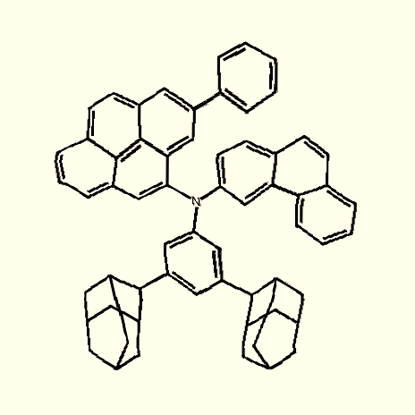 c1ccc(-c2cc3ccc4cccc5cc(N(c6cc(C7C8CC9CC(C8)CC7C9)cc(C7C8CC9CC(C8)CC7C9)c6)c6ccc7ccc8ccccc8c7c6)c(c2)c3c45)cc1